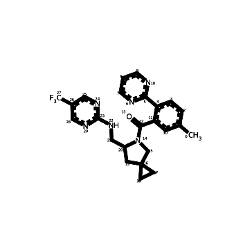 Cc1ccc(-c2ncccn2)c(C(=O)N2CC3(CC3)CC2CNc2ncc(C(F)(F)F)cn2)c1